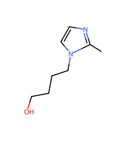 Cc1n[c]cn1CCCCO